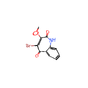 COc1c(Br)c(=O)c2ccccc2[nH]c1=O